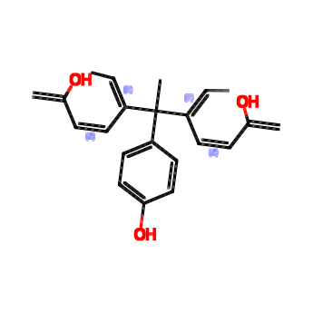 C=C(O)/C=C\C(=C/C)C(C)(C(/C=C\C(=C)O)=C/C)c1ccc(O)cc1